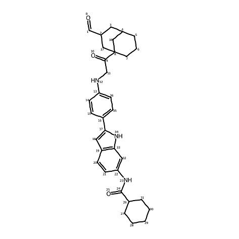 O=CC1CC2CCCC(C(=O)CNc3ccc(-c4cc5ccc(NC(=O)C6CCCCC6)cc5[nH]4)cc3)(C1)C2